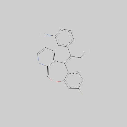 CCC(=C1C2=CC=CNC2=COc2cc(F)ccc21)c1cccc(N)c1